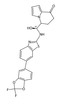 O=C1CCC([C@H](O)Nc2nc3ccc(-c4ccc5c(c4)OC(F)(F)O5)cc3s2)n2cccc21